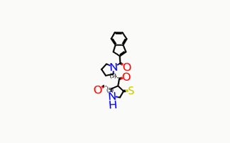 O=C[C@H]1NCC(=S)C1C(=O)[C@@H]1CCCN1C(=O)C1=Cc2ccccc2C1